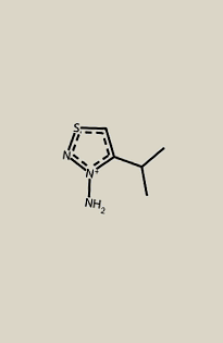 CC(C)c1csn[n+]1N